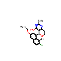 CCc1c(F)ccc2cc(OCOC)cc(C3OCCc4nc(SC)nc(O)c43)c12